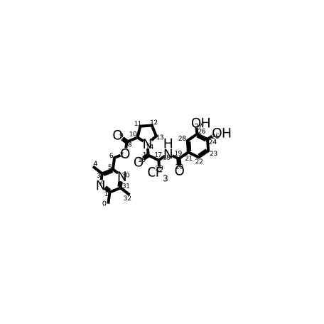 Cc1nc(C)c(COC(=O)C2CCCN2C(=O)C(NC(=O)c2ccc(O)c(O)c2)C(F)(F)F)nc1C